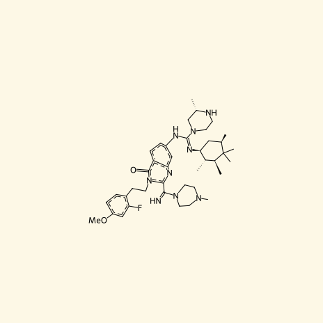 COc1ccc(CCn2c(C(=N)N3CCN(C)CC3)nc3cc(NC(=N[C@H]4C[C@@H](C)C(C)(C)[C@@H](C)[C@@H]4C)N4CCN[C@@H](C)C4)ccc3c2=O)c(F)c1